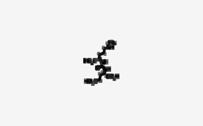 CC(C)(C)NCCC[C@H](NC(=O)N[C@@H](CCC(=O)O)C(=O)O)C(=O)O